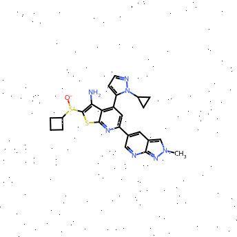 Cn1cc2cc(-c3cc(-c4ccnn4C4CC4)c4c(N)c([S+]([O-])C5CCC5)sc4n3)cnc2n1